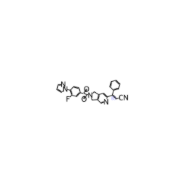 N#C/C=C(\c1ccccc1)c1cc2c(cn1)CN(S(=O)(=O)c1ccc(-n3cccn3)c(F)c1)C2